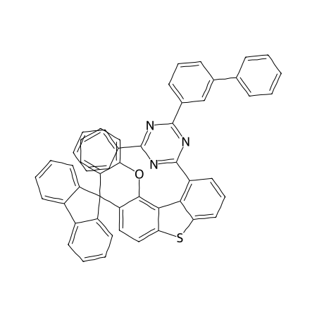 c1ccc(-c2cccc(-c3nc(-c4ccccc4)nc(-c4cccc5sc6ccc7c(c6c45)Oc4ccccc4C74c5ccccc5-c5ccccc54)n3)c2)cc1